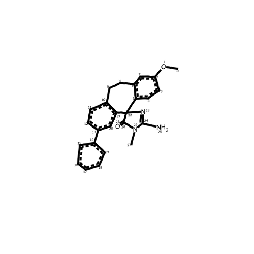 COc1ccc2c(c1)CCc1ccc(-c3ccccc3)cc1C21N=C(N)N(C)C1=O